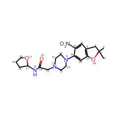 CC1(C)Cc2cc([N+](=O)[O-])c(N3CCN(CC(=O)NC4CCCO4)CC3)cc2O1